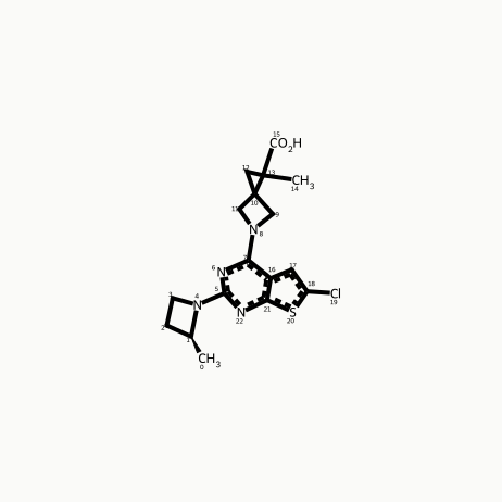 C[C@H]1CCN1c1nc(N2CC3(C2)CC3(C)C(=O)O)c2cc(Cl)sc2n1